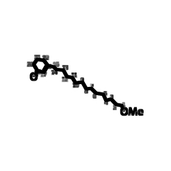 COCCCCCCCCCCCCCCCC1=CC(=O)CCC1